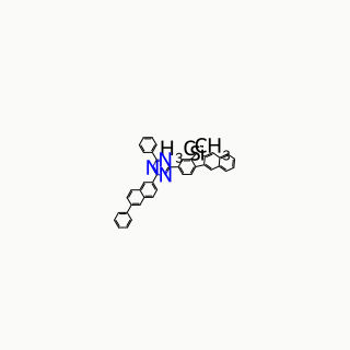 C[Si]1(C)c2cc(-c3nc(-c4ccccc4)nc(-c4ccc5cc(-c6ccccc6)ccc5c4)n3)ccc2-c2cc3ccccc3cc21